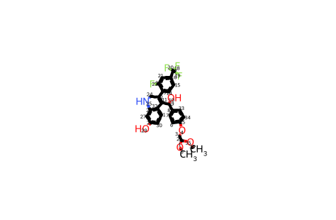 COC(COc1ccc(C(O)C2=C(c3ccc(C(F)(F)F)cc3F)CNc3cc(O)ccc32)cc1)OC